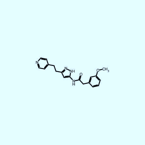 COc1cccc(CC(=O)Nc2cc(CCc3ccncc3)n[nH]2)c1